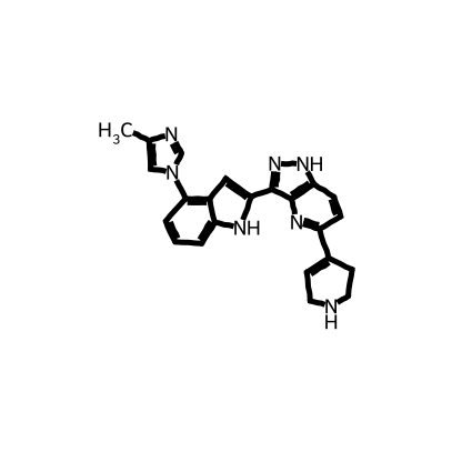 Cc1cn(-c2cccc3[nH]c(-c4n[nH]c5ccc(C6=CCNCC6)nc45)cc23)cn1